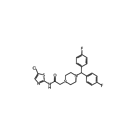 O=C(CN1CCN(C(c2ccc(F)cc2)c2ccc(F)cc2)CC1)Nc1ncc(Cl)s1